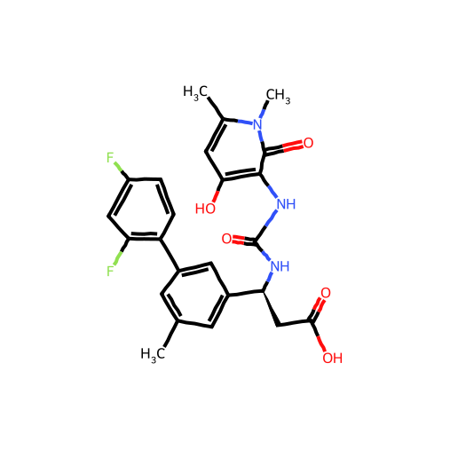 Cc1cc(-c2ccc(F)cc2F)cc([C@H](CC(=O)O)NC(=O)Nc2c(O)cc(C)n(C)c2=O)c1